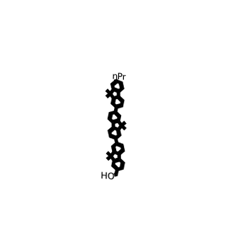 CCCc1ccc2c(c1)C(C)(C)c1cc(-c3ccc4c(c3)C(C)(C)c3cc(-c5ccc6c(c5)C(C)(C)c5cc(CO)ccc5-6)ccc3-4)ccc1-2